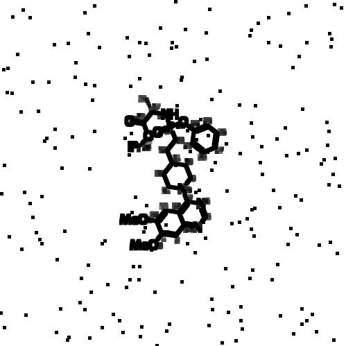 COc1cc2ncnc(N3CCC(CCP(=O)(N[C@@H](C)C(=O)OC(C)C)Oc4ccccc4)CC3)c2cc1OC